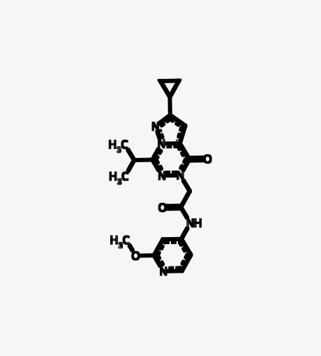 COc1cc(NC(=O)Cn2nc(C(C)C)n3nc(C4CC4)cc3c2=O)ccn1